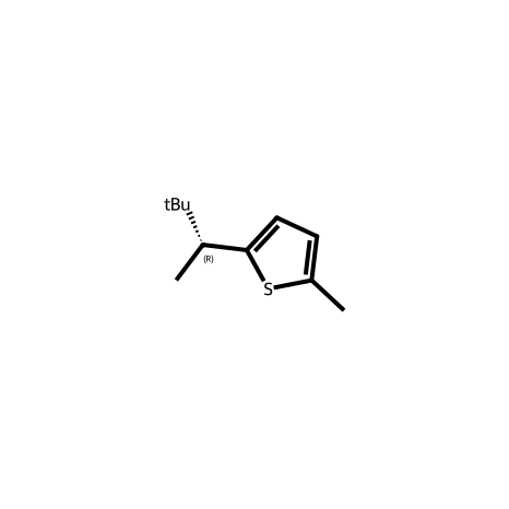 Cc1ccc([C@H](C)C(C)(C)C)s1